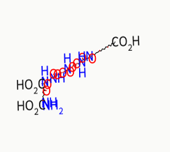 NN[C@@H](CCCCCC(=O)CC[C@H](NC(=O)CCCNC(=O)COCCOCCNC(=O)COCCOCCNC(=O)CCCNC(=O)CCCCCCCCCCCCCCC(=O)O)C(=O)O)C(=O)O